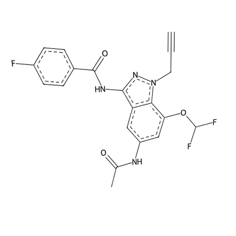 C#CCn1nc(NC(=O)c2ccc(F)cc2)c2cc(NC(C)=O)cc(OC(F)F)c21